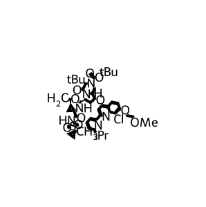 C=C[C@@H]1C[C@]1(NC(=O)[C@@H]1C[C@@H](Oc2cc(-c3cccc(C(C)C)n3)nc3c(Cl)c(OCCOC)ccc23)[C@H]2CN(C(=O)OC(C)(C)C)[C@H](C(C)(C)C)C(=O)N21)C(=O)NS(=O)(=O)C1(C)CC1